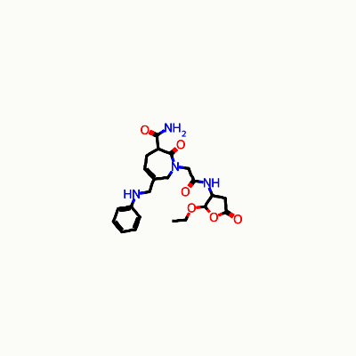 CCOC1OC(=O)CC1NC(=O)CN1CC(CNc2ccccc2)=CCC(C(N)=O)C1=O